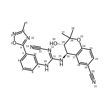 Cc1noc(-c2cccc(NC(=NC#N)N[C@@H]3c4cc(C#N)ccc4OC(C)(C)[C@H]3O)c2)n1